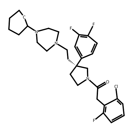 O=C(Cc1c(F)cccc1Cl)N1CC[C@@](CCN2CCN(C3CCCCC3)CC2)(c2ccc(F)c(F)c2)C1